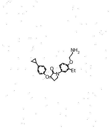 CCc1cc(N2CC[C@H](Oc3ccc(C4CC4)cc3)C2=O)ccc1OCCN